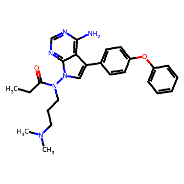 CCC(=O)N(CCCN(C)C)n1cc(-c2ccc(Oc3ccccc3)cc2)c2c(N)ncnc21